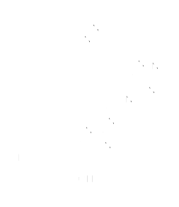 Cn1cc(-c2cc3c(N4CCN(c5ncc([C@H](O)c6ccc(F)cc6)cn5)CC4)ncnn3c2)cn1